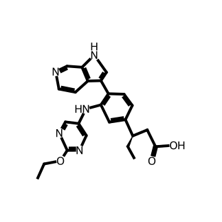 CCOc1ncc(Nc2cc([C@H](CC)CC(=O)O)ccc2-c2c[nH]c3cnccc23)cn1